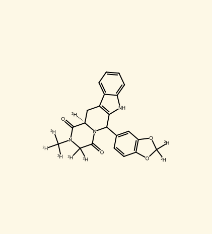 [2H]C1([2H])Oc2ccc(C3c4[nH]c5ccccc5c4C[C@]4([2H])C(=O)N(C([2H])([2H])[2H])C([2H])([2H])C(=O)N34)cc2O1